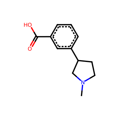 CN1CCC(c2cccc(C(=O)O)c2)C1